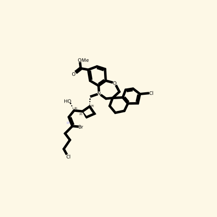 COC(=O)c1ccc2c(c1)N(C[C@@H]1CC[C@H]1[C@@H](O)/C=C(\Br)CCCCl)CC1(CCCc3cc(Cl)ccc31)CO2